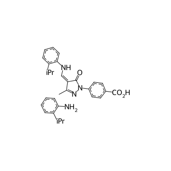 CC(C)c1ccccc1N.CC1=NN(c2ccc(C(=O)O)cc2)C(=O)/C1=C\Nc1ccccc1C(C)C